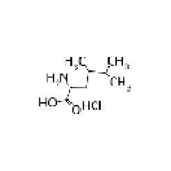 CC(C)C(C)C[C@@H](N)C(=O)O.Cl